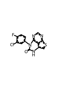 O=C1Nc2csc3ncnc(c23)N1c1ccc(F)c(Cl)c1